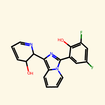 Oc1c(F)cc(F)cc1-c1nc(C2N=CC=CC2O)c2ccccn12